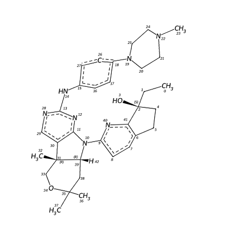 CC[C@]1(O)CCc2ccc(N3c4nc(Nc5ccc(N6CCN(C)CC6)cc5)ncc4[C@@]4(C)COC(C)(C)C[C@@H]34)nc21